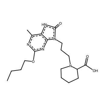 CCCCOc1nc(C)c2[nH]c(=O)n(CCCN3CCCCC3C(=O)O)c2n1